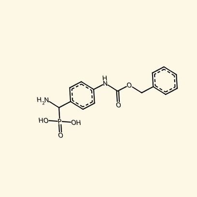 NC(c1ccc(NC(=O)OCc2ccccc2)cc1)P(=O)(O)O